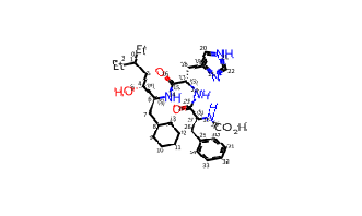 CCC(CC)C[C@@H](O)[C@H](CC1CCCCC1)NC(=O)[C@H](Cc1c[nH]cn1)NC(=O)[C@H](Cc1ccccc1)NC(=O)O